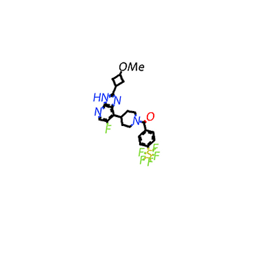 COC1CC(c2nc3c(C4CCN(C(=O)c5ccc(S(F)(F)(F)(F)F)cc5)CC4)c(F)cnc3[nH]2)C1